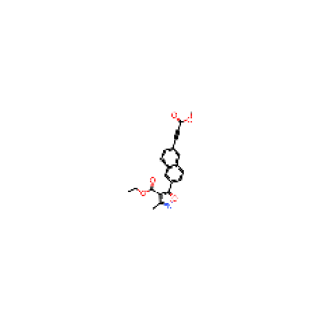 CCOC(=O)c1c(C)noc1-c1ccc2cc(C#CC(=O)OC)ccc2c1